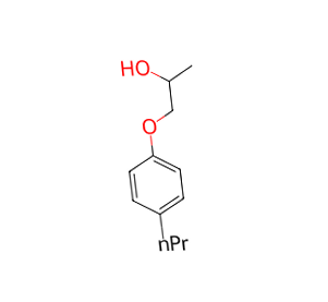 CCCc1ccc(OCC(C)O)cc1